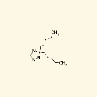 CCCCCC1(CCCCC)N=CN=N1